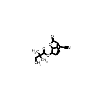 CCC(C)(C)C(=O)OC1C2CC3C1OC(=O)C3C2C#N